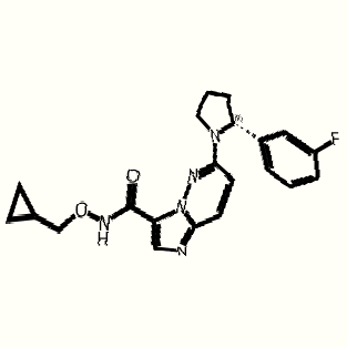 O=C(NOCC1CC1)c1cnc2ccc(N3CCC[C@@H]3c3cccc(F)c3)nn12